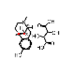 CN1CC[C@]23CCCC[C@H]2[C@H]1Cc1ccc(O)cc13.O=C(O)C(O)C(O)C(=O)O